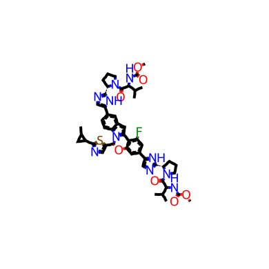 COC(=O)NC(C(=O)N1CCC[C@H]1c1ncc(-c2cc(F)c3c(c2)OC(c2cnc(C4CC4C)s2)n2c-3cc3cc(-c4cnc([C@@H]5CCCN5C(=O)C(NC(=O)OC)C(C)C)[nH]4)ccc32)[nH]1)C(C)C